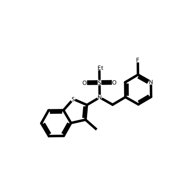 CCS(=O)(=O)N(Cc1ccnc(F)c1)c1sc2ccccc2c1C